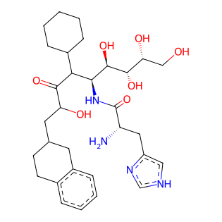 N[C@@H](Cc1c[nH]cn1)C(=O)N[C@@H](C(C(=O)C(O)CC1CCc2ccccc2C1)C1CCCCC1)[C@@H](O)[C@@H](O)[C@H](O)CO